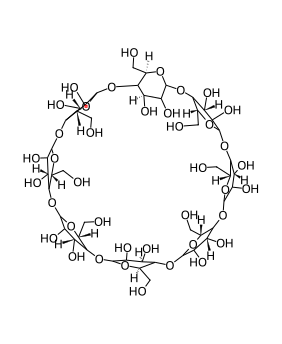 OC[C@H]1OC2OC3[C@H](O)C(O)C(OC4[C@H](O)C(O)C(OC5[C@H](O)C(O)C(OC6[C@H](O)C(O)C(OC7[C@H](O)C(O)C(OC8[C@H](O)C(O)C(OC9[C@H](O)C(O)C(OC1[C@H](O)C2O)O[C@@H]9CO)O[C@@H]8CO)O[C@@H]7CO)O[C@@H]6CO)O[C@@H]5CO)O[C@@H]4CO)O[C@@H]3CO